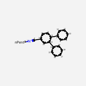 CCCCC[N+]#Cc1ccc(-c2ccccc2)c(-c2ccccc2)c1